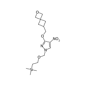 C[Si](C)(C)CCOCn1cc([N+](=O)[O-])c(OCC2CC3(COC3)C2)n1